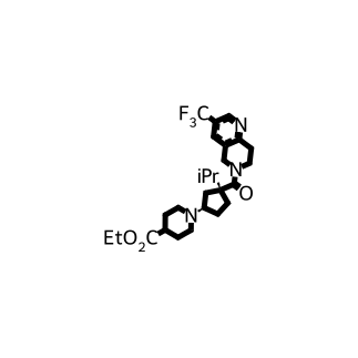 CCOC(=O)C1CCN([C@H]2CC[C@@](C(=O)N3CCc4ncc(C(F)(F)F)cc4C3)(C(C)C)C2)CC1